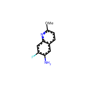 COc1ccc2cc(N)c(F)cc2n1